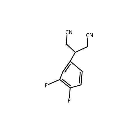 N#CCC(CC#N)c1ccc(F)c(F)c1